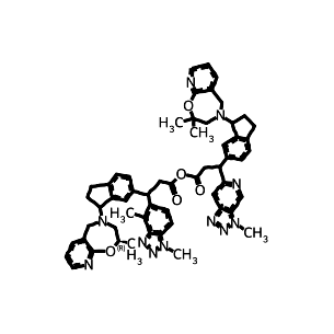 Cc1c(C(CC(=O)OC(=O)CC(c2ccc3c(c2)C(N2Cc4cccnc4OC(C)(C)C2)CC3)c2cc3nnn(C)c3cn2)c2ccc3c(c2)C(N2Cc4cccnc4O[C@H](C)C2)CC3)ccc2c1nnn2C